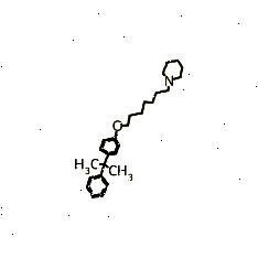 CC(C)(c1ccccc1)c1ccc(OCCCCCCCN2CCCCC2)cc1